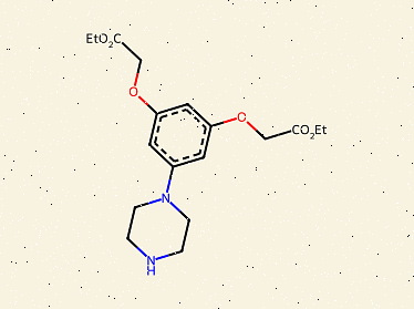 CCOC(=O)COc1cc(OCC(=O)OCC)cc(N2CCNCC2)c1